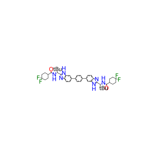 CC(C)(C)C(NC(=O)C1CCC(F)(F)CC1)c1nc2ccc(-c3ccc(-c4ccc5nc([C@@H](NC(=O)C6CCC(F)(F)CC6)C(C)(C)C)[nH]c5c4)cc3)cc2[nH]1